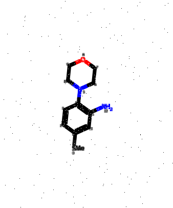 CSc1ccc(N2CCOCC2)c(N)c1